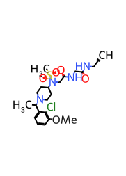 C#CCNC(=O)CNC(=O)CN(C1CCN(C(C)c2cccc(OC)c2Cl)CC1)S(C)(=O)=O